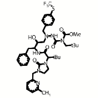 CCC(C)C(C(=O)NC(Cc1ccccc1)C(O)CN(Cc1ccc(SC(F)(F)F)cc1)NC(=O)N(CC(C)(C)C)C(=O)OC)N1CCN(Cc2cccc(C)n2)C1=O